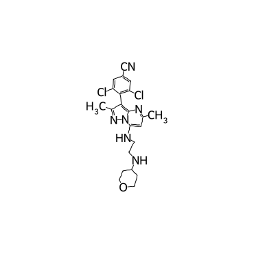 Cc1cc(NCCNC2CCOCC2)n2nc(C)c(-c3c(Cl)cc(C#N)cc3Cl)c2n1